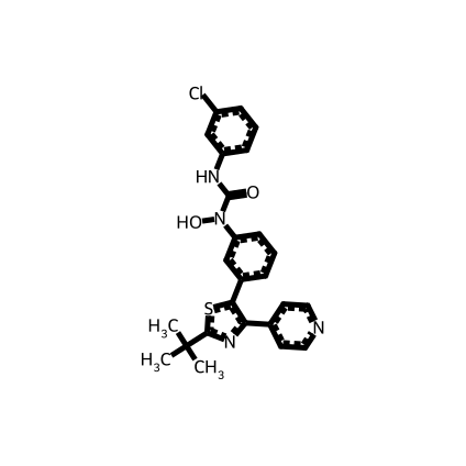 CC(C)(C)c1nc(-c2ccncc2)c(-c2cccc(N(O)C(=O)Nc3cccc(Cl)c3)c2)s1